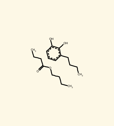 CCCCOC(=O)CCC.CCCCc1cccc(O)c1O